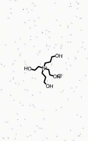 OCCC[N+](CCO)(CCO)CCCO.[Cl-]